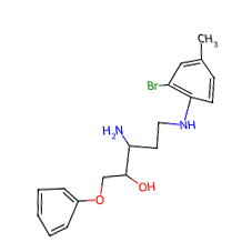 Cc1ccc(NCCC(N)C(O)COc2ccccc2)c(Br)c1